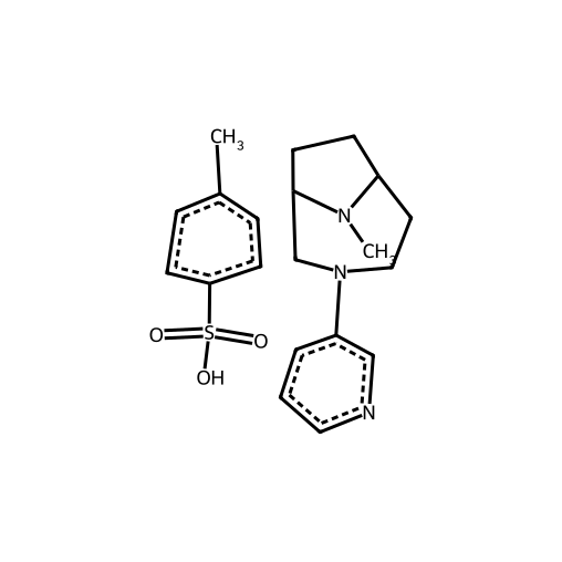 CN1C2CCC1CN(c1cccnc1)CC2.Cc1ccc(S(=O)(=O)O)cc1